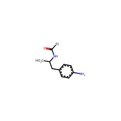 CCC(=O)NC(Cc1ccc(N)cc1)C(=O)O